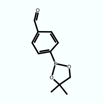 CC1(C)COB(c2ccc(C=O)cc2)O1